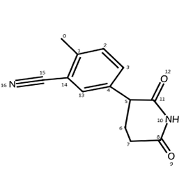 Cc1ccc(C2CCC(=O)NC2=O)cc1C#N